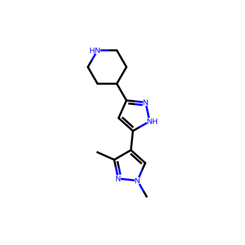 Cc1nn(C)cc1-c1cc(C2CCNCC2)n[nH]1